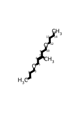 CCCCOC/C=C(\C)CCOCCCC